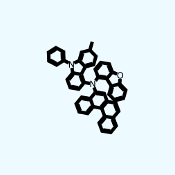 CC1C=c2c(c3c(N(c4cc5ccc6ccccc6c5c5ccccc45)c4cccc5oc6ccccc6c45)cccc3n2-c2ccccc2)=CC1